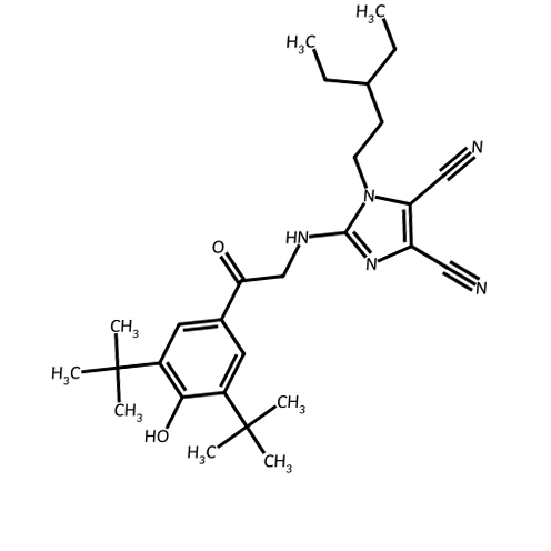 CCC(CC)CCn1c(NCC(=O)c2cc(C(C)(C)C)c(O)c(C(C)(C)C)c2)nc(C#N)c1C#N